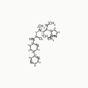 C=N/C(=C(/C)N(C)CC(=O)Nc1ccc(-c2cnccn2)cn1)c1ccnn1C